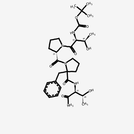 C[C@@H](O)[C@H](NC(=O)C1(Cc2ccccc2)CCCN1C(=O)[C@@H]1CCCN1C(=O)[C@@H](NC(=O)OC(C)(C)C)[C@@H](C)O)C(N)=O